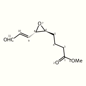 COC(=O)CCC[C@@H]1O[C@H]1/C=C/C=O